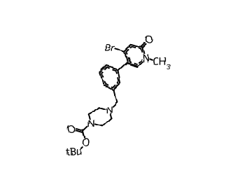 Cn1cc(-c2cccc(CN3CCN(C(=O)OC(C)(C)C)CC3)c2)c(Br)cc1=O